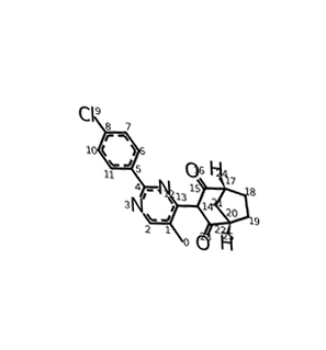 Cc1cnc(-c2ccc(Cl)cc2)nc1C1C(=O)[C@@H]2CC[C@@H](C2)C1=O